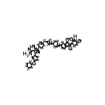 Nc1ncnc2c1c(-c1ccc(Oc3ccccc3)cc1)nn2C1CCN(CC2CN(C3CCN(c4ccc5c(c4)C(=O)N(C4CCC(=O)NC4=O)C5=O)CC3)C2)CC1